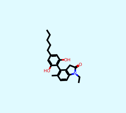 CCCCCc1cc(O)c(-c2c(C)ccc3c2CC(=O)N3CC)c(O)c1